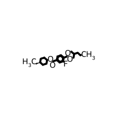 CCCC1COC(c2ccc(C(=O)O[C@H]3CC[C@H](CC)CC3)cc2F)OC1